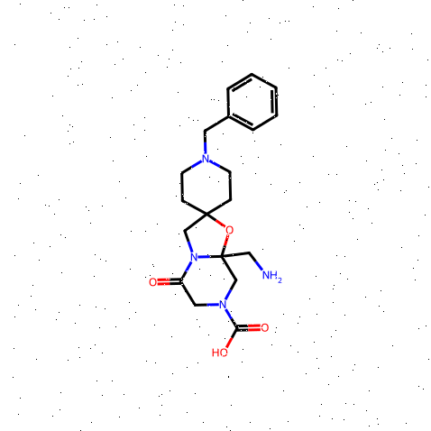 NCC12CN(C(=O)O)CC(=O)N1CC1(CCN(Cc3ccccc3)CC1)O2